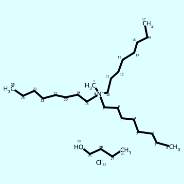 CCCCCCCC[N+](C)(CCCCCCCC)CCCCCCCC.CCCCO.[Cl-]